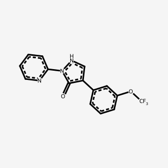 O=c1c(-c2cccc(OC(F)(F)F)c2)c[nH]n1-c1ccccn1